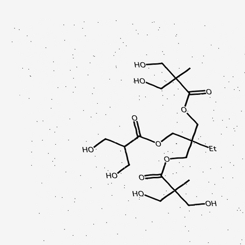 CCC(COC(=O)C(CO)CO)(COC(=O)C(C)(CO)CO)COC(=O)C(C)(CO)CO